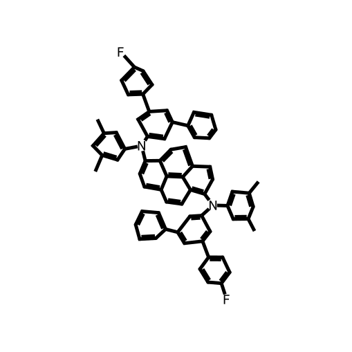 Cc1cc(C)cc(N(c2cc(-c3ccccc3)cc(-c3ccc(F)cc3)c2)c2ccc3ccc4c(N(c5cc(C)cc(C)c5)c5cc(-c6ccccc6)cc(-c6ccc(F)cc6)c5)ccc5ccc2c3c54)c1